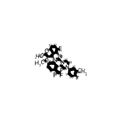 COc1ccc(C(F)(F)F)cc1N1C(N2CCN(c3ccc(F)c(C)c3)CC2)=Nc2c(F)cccc2C1CC(=O)O